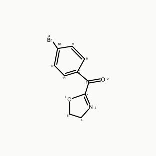 O=C(C1=NCCO1)c1ccc(Br)cc1